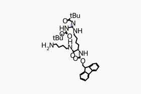 CC(C)(C)OC(=O)N/C(=N\C(=O)C(C)(C)C)NCCCCC(NC(=O)OCC1c2ccccc2-c2ccccc21)C(=O)NCCCCN